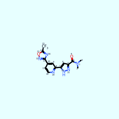 CN(C)C(=O)c1cc(-c2cc(-c3noc(C(F)(F)F)n3)ccn2)[nH]n1